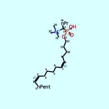 CCCCC/C=C\CCCC/C=C\CCCCOP(=O)(O)C(CCC)[N+](C)(C)C